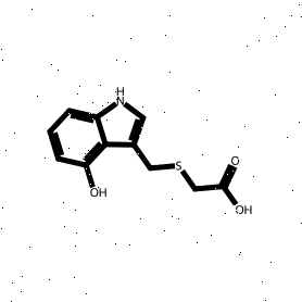 O=C(O)CSCc1c[nH]c2cccc(O)c12